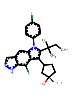 COCC(C)(C)c1c(C2CC[C@@](O)(C(=O)O)C2)c2c(F)c3[nH]ncc3cc2n1-c1ccc(F)cc1